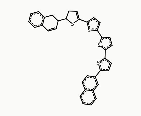 C1=CC(C2CC=C(c3ccc(-c4ccc(-c5ccc(-c6ccc7ccccc7c6)s5)s4)s3)S2)Cc2ccccc21